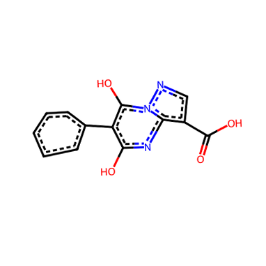 O=C(O)c1cnn2c(O)c(-c3ccccc3)c(O)nc12